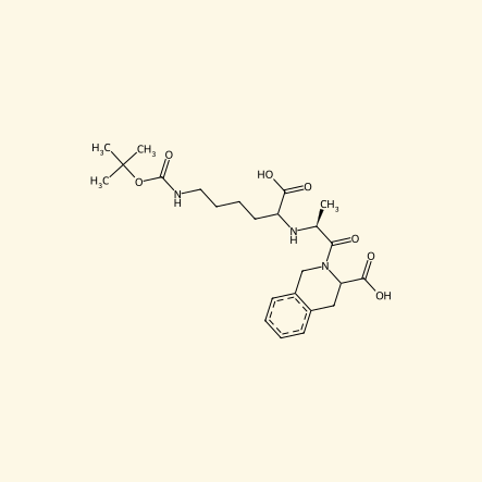 C[C@H](NC(CCCCNC(=O)OC(C)(C)C)C(=O)O)C(=O)N1Cc2ccccc2CC1C(=O)O